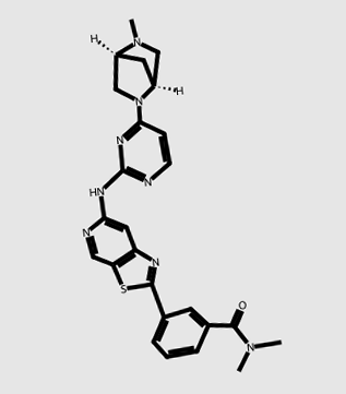 CN(C)C(=O)c1cccc(-c2nc3cc(Nc4nccc(N5C[C@@H]6C[C@H]5CN6C)n4)ncc3s2)c1